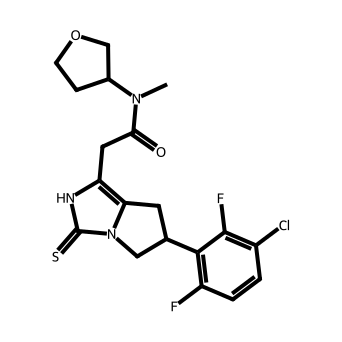 CN(C(=O)Cc1[nH]c(=S)n2c1CC(c1c(F)ccc(Cl)c1F)C2)C1CCOC1